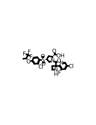 CC(Oc1ccc(S(=O)(=O)[C@@H]2C[C@@H](C(=O)O)N(C(=O)C3(c4ncc(Cl)cc4F)CCN3)C2)c(Cl)c1)C(F)(F)F